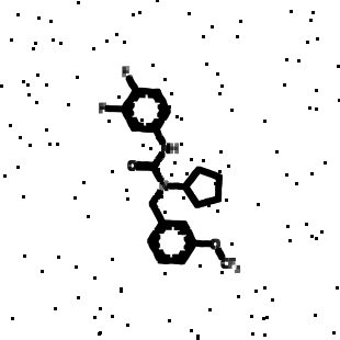 O=C(Nc1ccc(F)c(F)c1)N(Cc1cccc(OC(F)(F)F)c1)C1CCCC1